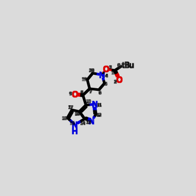 CC(C)(C)C(=O)ON1CCC(C(=O)c2ncnc3[nH]ccc23)CC1